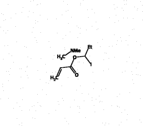 C=CC(=O)OC(I)CC.CNC